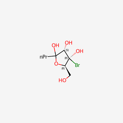 CCCC1(O)O[C@H](CO)[C@](O)(Br)[C@H]1O